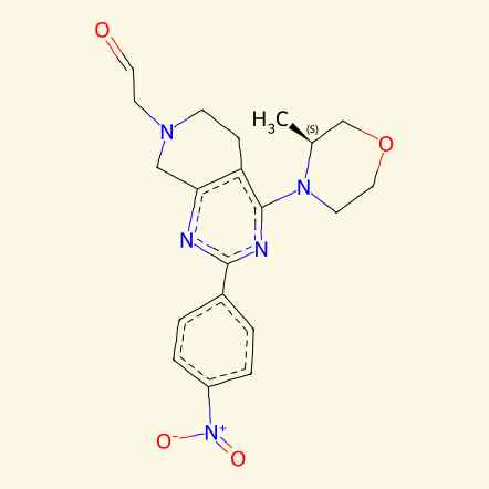 C[C@H]1COCCN1c1nc(-c2ccc([N+](=O)[O-])cc2)nc2c1CCN(CC=O)C2